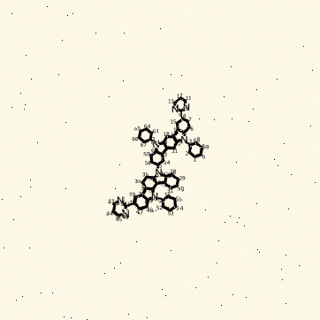 c1ccc(-n2c3ccc(-c4ncccn4)cc3c3cc4c(cc32)c2cc(-n3c5ccccc5c5c3ccc3c6cc(-c7ncccn7)ccc6n(-c6ccccc6)c35)ccc2n4-c2ccccc2)cc1